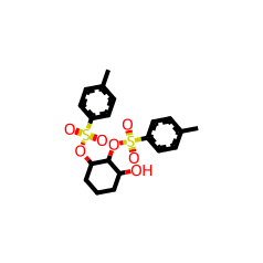 Cc1ccc(S(=O)(=O)OC2CCCC(O)C2OS(=O)(=O)c2ccc(C)cc2)cc1